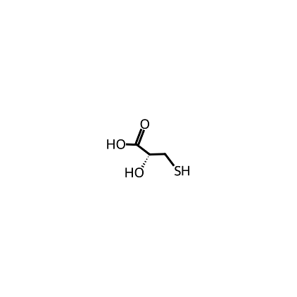 O=C(O)[C@@H](O)CS